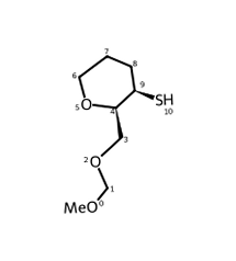 COCOC[C@H]1OCCC[C@H]1S